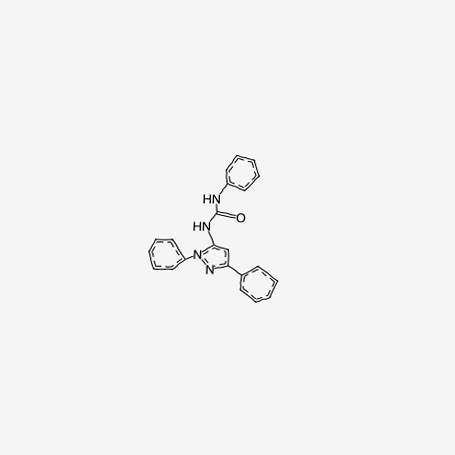 O=C(Nc1ccccc1)Nc1cc(-c2ccccc2)nn1-c1ccccc1